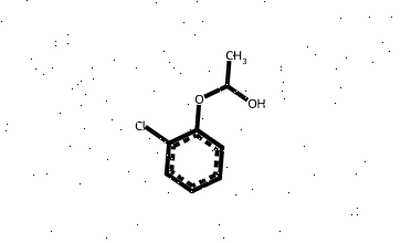 CC(O)Oc1ccccc1Cl